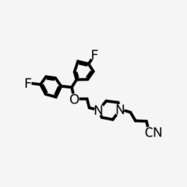 N#CCCCN1CCN(CCOC(c2ccc(F)cc2)c2ccc(F)cc2)CC1